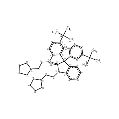 CC(C)(C)c1ccc(O)c(C2(c3cc(C(C)(C)C)ccc3OCCN3CCCC3)C(=O)N(CCN3CCCC3)c3ccccc32)c1